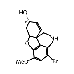 COc1cc(Br)c2c3c1OC1C[C@H](O)C=CC31CCNC2